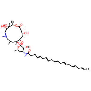 CCC=CCC=CCC=CCC=CCC=CCC=CCCC(=O)N(C)[C@H]1C[C@@H](C)O[C@@H](O[C@@H]2[C@@H](C)[C@H](O)[C@@H](C)C(=O)O[C@H](CC)[C@@](C)(O)[C@H](O)[C@@H](C)N(C)C[C@H](C)C[C@@]2(C)O)[C@@H]1O